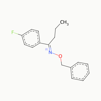 CCC/C(=N\OCc1ccccc1)c1ccc(F)cc1